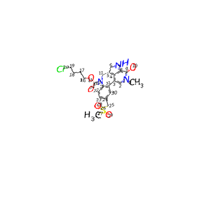 Cn1cc2c3c(c[nH]c3c1=O)CN(C(=O)OCCCCCl)c1ccc(CS(C)(=O)=O)cc1-2